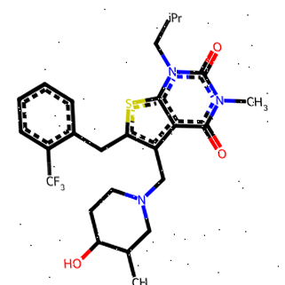 CC(C)Cn1c(=O)n(C)c(=O)c2c(CN3CCC(O)C(C)C3)c(Cc3ccccc3C(F)(F)F)sc21